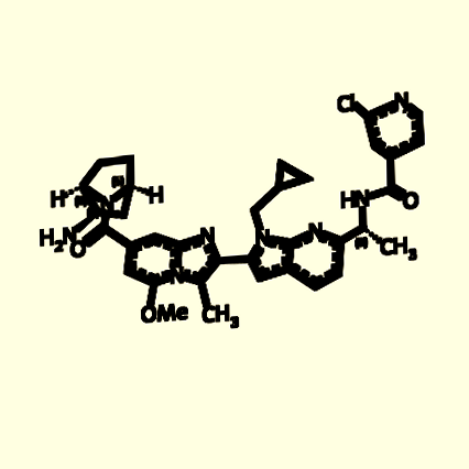 COc1cc(C(=O)N2[C@H]3CC[C@@H]2[C@H](N)C3)cc2nc(-c3cc4ccc([C@@H](C)NC(=O)c5ccnc(Cl)c5)nc4n3CC3CC3)c(C)n12